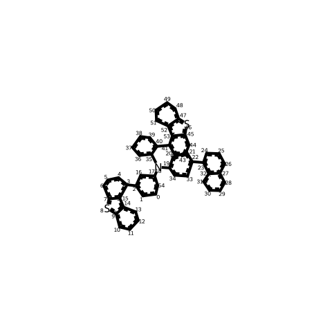 c1cc(-c2cccc3sc4ccccc4c23)cc(N(c2ccc(-c3cccc4ccccc34)cc2)c2ccccc2-c2cccc3sc4ccccc4c23)c1